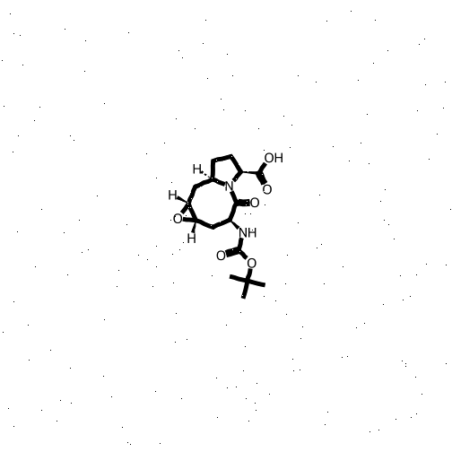 CC(C)(C)OC(=O)N[C@H]1C[C@@H]2O[C@@H]2C[C@H]2CC[C@@H](C(=O)O)N2C1=O